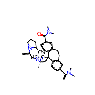 C=C(c1ccc2c(c1)CCc1cc(C(=O)N(C)C)ccc1C2(C[C@H](C)NCC(=C)N1CCCC1C#N)C(=O)O)N(C)C